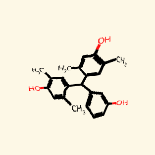 Cc1cc(C(c2cccc(O)c2)c2cc(C)c(O)cc2C)c(C)cc1O